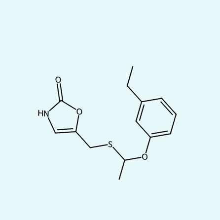 CCc1cccc(OC(C)SCc2c[nH]c(=O)o2)c1